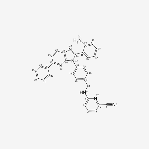 N#Cc1cccc(NCc2ccc(-n3c(-c4cccnc4N)nc4ccc(-c5ccccc5)nc43)cc2)n1